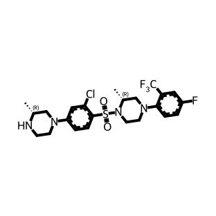 C[C@@H]1CN(c2ccc(S(=O)(=O)N3CCN(c4ccc(F)cc4C(F)(F)F)C[C@H]3C)c(Cl)c2)CCN1